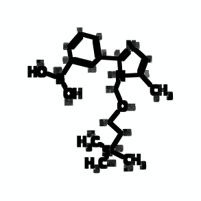 Cc1cnc(-c2cccc(B(O)O)c2)n1COCC[Si](C)(C)C